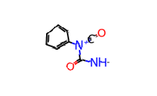 [NH]C(=O)[N+](=C=O)c1ccccc1